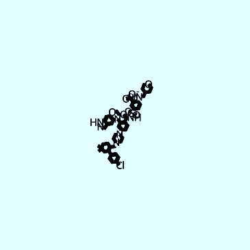 CC1(C)CCC(CN2CCN(c3ccc(C(=O)NS(=O)(=O)c4ccc(NCC5CCOCC5)c([N+](=O)[O-])c4)c(N4CCOc5cc6[nH]ncc6cc54)c3)CC2)=C(c2ccc(Cl)cc2)C1